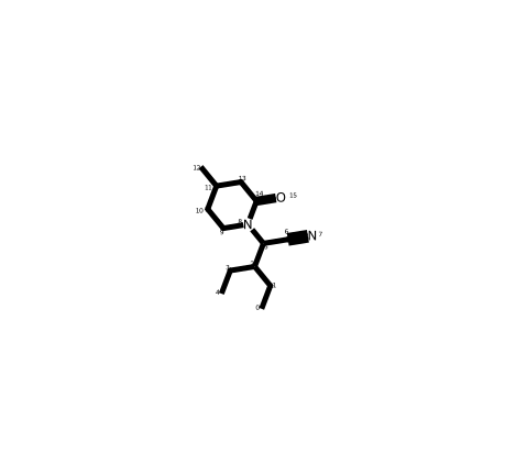 CCC(CC)C(C#N)N1CCC(C)CC1=O